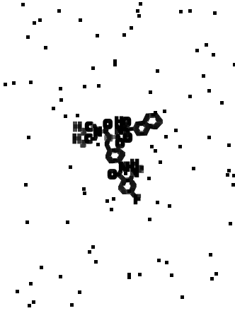 CCN(CC)C(=O)[C@H](Cc1ccc(NC(=O)c2ccc(F)cc2N)cc1)C(=O)NS(=O)(=O)c1ccc2ccccc2c1